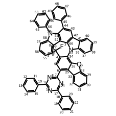 FC(F)(F)c1cc(-c2nc(-c3ccccc3)nc(-c3ccccc3)n2)c2c(oc3ccccc32)c1-n1c2ccccc2c2cc(-c3ccccc3)c3c(c4ccccc4n3-c3ccccc3)c21